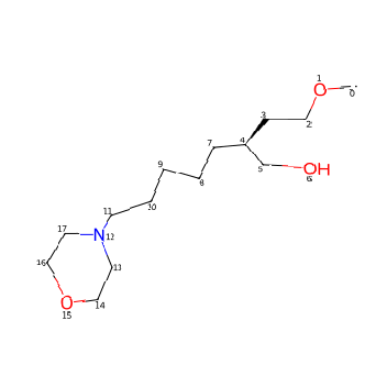 [CH2]OCC[C@@H](CO)CCCCCN1CCOCC1